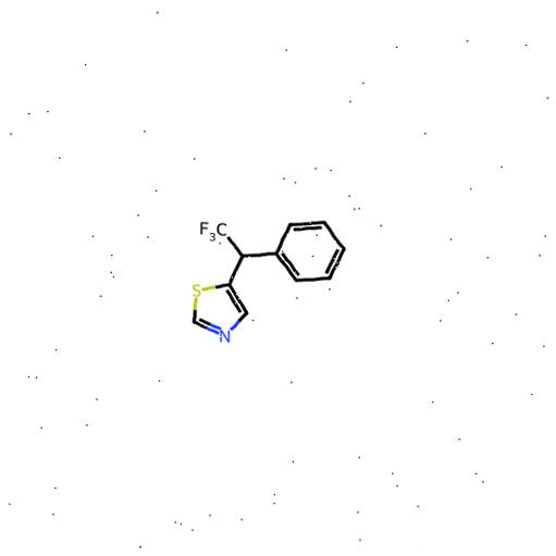 FC(F)(F)C(c1ccccc1)c1cncs1